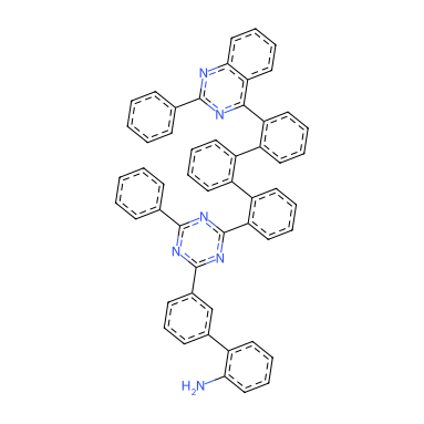 Nc1ccccc1-c1cccc(-c2nc(-c3ccccc3)nc(-c3ccccc3-c3ccccc3-c3ccccc3-c3nc(-c4ccccc4)nc4ccccc34)n2)c1